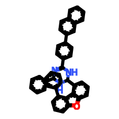 c1ccc(-c2cccc3oc4cccc(C5NC(c6ccc(-c7ccc8ccccc8c7)cc6)=NC(c6ccccc6)N5)c4c23)cc1